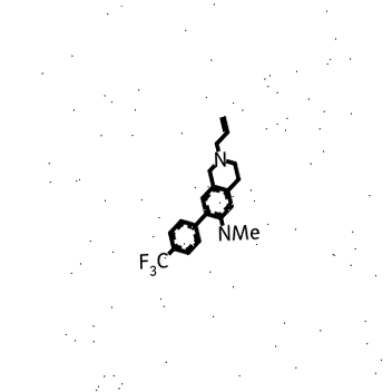 C=CCN1CCc2cc(NC)c(-c3ccc(C(F)(F)F)cc3)cc2C1